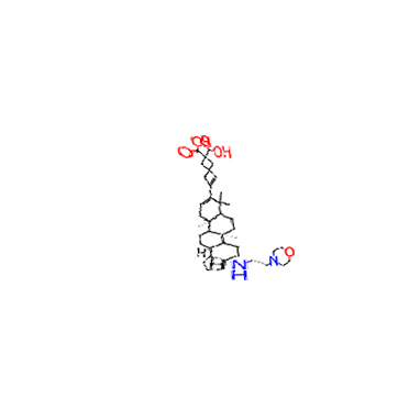 CC1(C)C(C2=CC3(C2)CC(C(=O)O)(C(=O)O)C3)=CC[C@@]2(C)C1CC[C@@]1(C)C3CC[C@@]4(NCCN5CCOCC5)CCC[C@@H]4[C@H]3CCC12